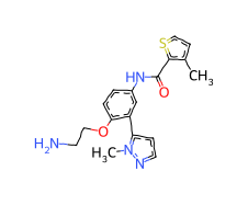 Cc1ccsc1C(=O)Nc1ccc(OCCN)c(-c2ccnn2C)c1